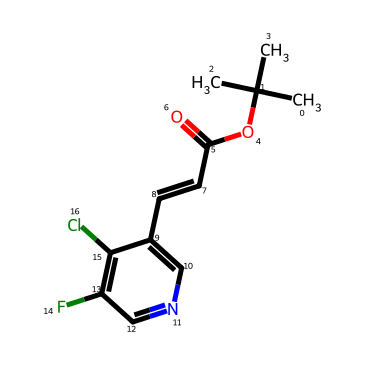 CC(C)(C)OC(=O)C=Cc1cncc(F)c1Cl